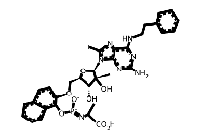 CC(/N=[P+](\[O-])Oc1c(OC[C@H]2O[C@@H](n3c(I)nc4c(NCCc5ccccc5)nc(N)nc43)[C@](C)(O)[C@@H]2O)ccc2ccccc12)C(=O)O